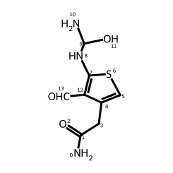 NC(=O)Cc1csc(NC(N)O)c1C=O